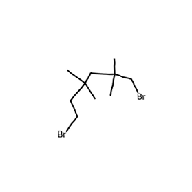 CC(C)(CBr)CC(C)(C)CCBr